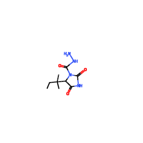 CCC(C)(C)C1C(=O)NC(=O)N1C(=O)NN